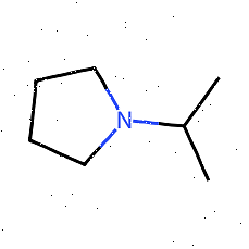 CC(C)N1CCCC1